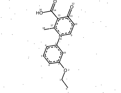 CCOc1cccc(-n2ccc(=O)c(C(=O)O)c2C)c1